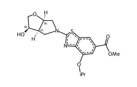 COC(=O)c1cc(OC(C)C)c2nc(N3C[C@@H]4[C@H](C3)OC[C@@H]4O)sc2c1